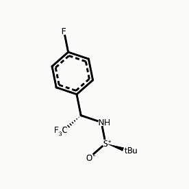 CC(C)(C)[S@@+]([O-])N[C@@H](c1ccc(F)cc1)C(F)(F)F